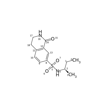 CC[C@@H](C)NS(=O)(=O)c1ccc2c(c1)C(=O)NCC2